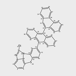 CCc1nc2cccc3c2n1-c1cc(-c2c4ccccc4c(-c4cc5ccccc5c5ccccc45)c4ccccc24)ccc1S3